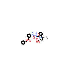 C[C@]1(c2ccccc2)CC[C@@H](C(=O)O)N1C(=O)CNC(=O)Nc1cccc(C(=O)OCc2ccccc2)c1